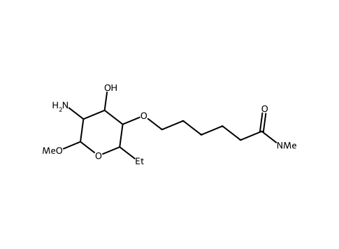 CCC1OC(OC)C(N)C(O)C1OCCCCCC(=O)NC